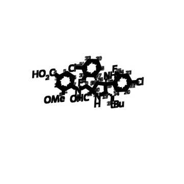 COc1cc(C(=O)O)ccc1NCC1(C=O)N[C@@H](CC(C)(C)C)[C@](N)(c2ccc(Cl)cc2F)[C@H]1c1cccc(Cl)c1F